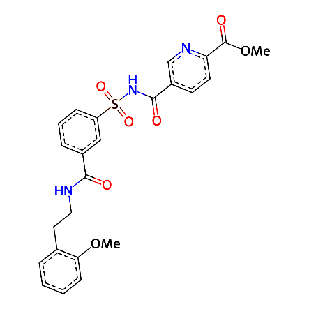 COC(=O)c1ccc(C(=O)NS(=O)(=O)c2cccc(C(=O)NCCc3ccccc3OC)c2)cn1